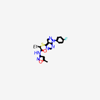 CCC(Sc1ncnc2c1cnn2-c1ccc(F)cc1)C(=O)Nc1cc(C)on1